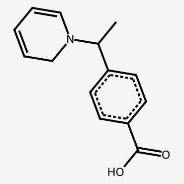 CC(c1ccc(C(=O)O)cc1)N1C=CC=CC1